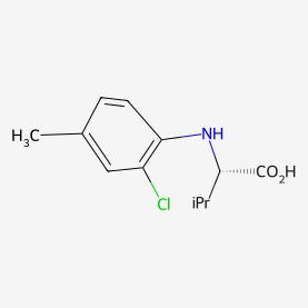 Cc1ccc(N[C@H](C(=O)O)C(C)C)c(Cl)c1